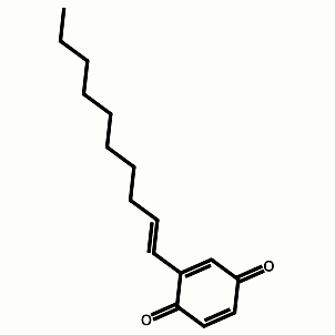 CCCCCCCCC=CC1=CC(=O)C=CC1=O